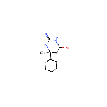 CCCCC1(C2CCCCC2)CC(O)N(C)C(=N)N1